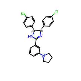 Clc1ccc([C@H]2N=C(c3cccc(N4CCCC4)c3)N[C@H]2c2ccc(Cl)cc2)cc1